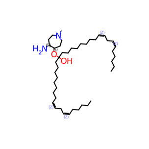 CCCCC/C=C\C/C=C\CCCCCCCCC(O)(CCCCCCCC/C=C\C/C=C\CCCCC)O[C@H]1CCN(C)CC[C@H]1N